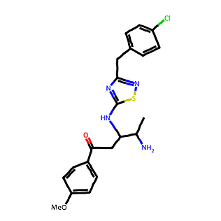 COc1ccc(C(=O)CC(Nc2nc(Cc3ccc(Cl)cc3)ns2)C(C)N)cc1